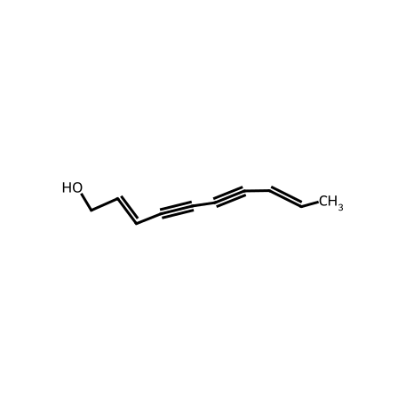 C/C=C/C#CC#C/C=C/CO